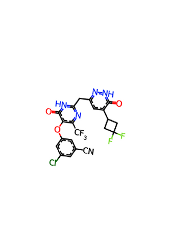 N#Cc1cc(Cl)cc(Oc2c(C(F)(F)F)nc(Cc3cc(C4CC(F)(F)C4)c(=O)[nH]n3)[nH]c2=O)c1